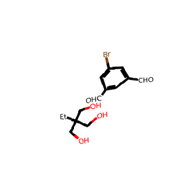 CCC(CO)(CO)CO.O=Cc1cc(Br)cc(C=O)c1